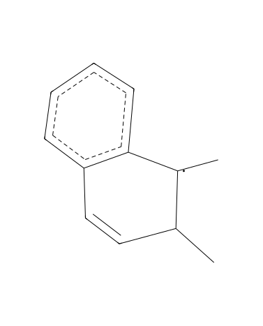 C[C]1c2ccccc2C=CC1C